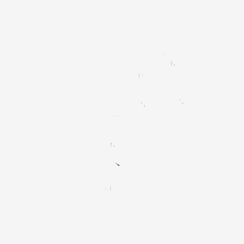 C[C@H]1c2c(Cl)cc(Cl)cc2CCN1C(=O)[C@H]1CN(c2cncc([N+](=O)[O-])c2O)CCO1